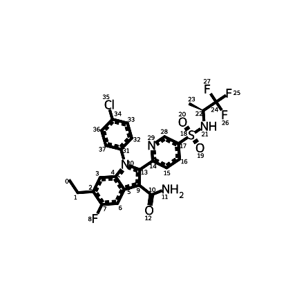 CCc1cc2c(cc1F)c(C(N)=O)c(-c1ccc(S(=O)(=O)N[C@@H](C)C(F)(F)F)cn1)n2-c1ccc(Cl)cc1